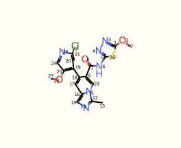 COc1nnc(NC(=O)c2cn3c(C)ncc3cc2-c2cc(Cl)ncc2OC)s1